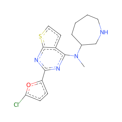 CN(c1nc(-c2ccc(Cl)o2)nc2sccc12)C1CCCCNC1